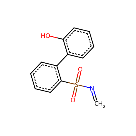 C=NS(=O)(=O)c1ccccc1-c1ccccc1O